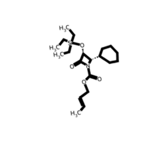 C/C=C/COC(=O)N1C(=O)[C@H](O[Si](CC)(CC)CC)[C@@H]1C1CCCCC1